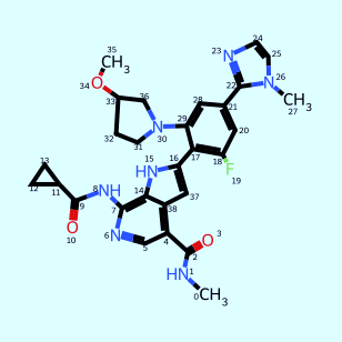 CNC(=O)c1cnc(NC(=O)C2CC2)c2[nH]c(-c3c(F)cc(-c4nccn4C)cc3N3CCC(OC)C3)cc12